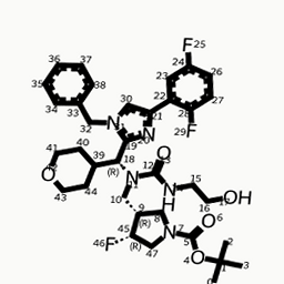 CC(C)(C)OC(=O)N1C[C@@H](CN(C(=O)NCCO)[C@@H](c2nc(-c3cc(F)ccc3F)cn2Cc2ccccc2)C2CCOCC2)[C@@H](F)C1